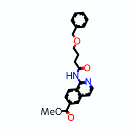 COC(=O)c1ccc2c(NC(=O)CCCOCc3ccccc3)nccc2c1